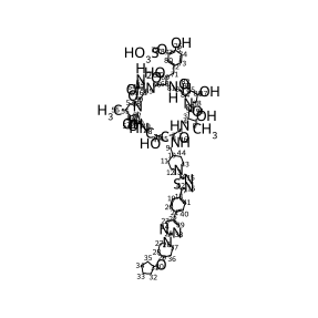 C[C@@H](O)[C@@H]1NC(=O)[C@@H](NCC2CCN(c3nnc(-c4ccc(-c5cnc(N6CCC(OC7CCCC7)CC6)nc5)cc4)s3)CC2)C[C@@H](O)CNC(=O)[C@@H]2[C@@H](O)[C@@H](C)CN2C(=O)[C@H](C(N)=O)NC(=O)[C@H]([C@H](O)Cc2ccc(O)c(OS(=O)(=O)O)c2)NC(=O)[C@@H]2C[C@@H](O)CN2C1=O